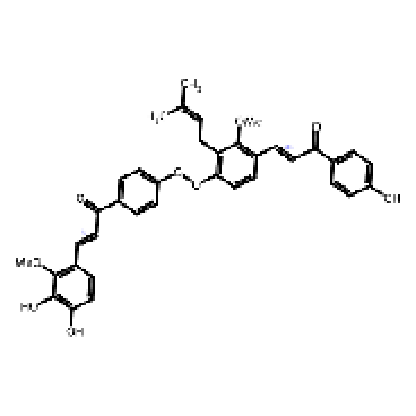 COc1c(/C=C/C(=O)c2ccc(OOc3ccc(/C=C/C(=O)c4ccc(O)cc4)c(OC)c3CC=C(C)C)cc2)ccc(O)c1O